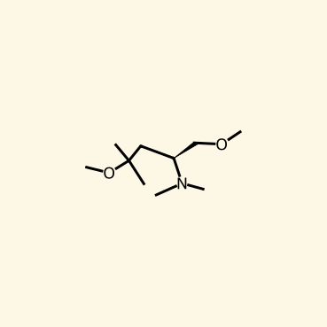 COC[C@H](CC(C)(C)OC)N(C)C